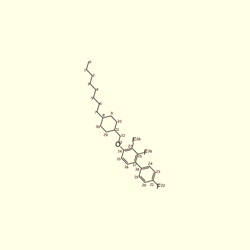 CCCCCCCCC1CCC(COc2ccc(-c3ccc(F)cc3)c(F)c2F)CC1